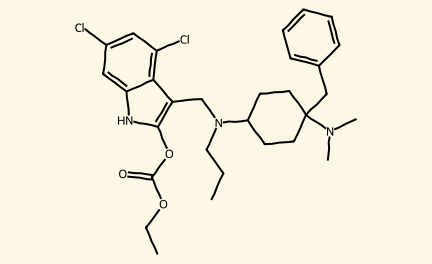 CCCN(Cc1c(OC(=O)OCC)[nH]c2cc(Cl)cc(Cl)c12)C1CCC(Cc2ccccc2)(N(C)C)CC1